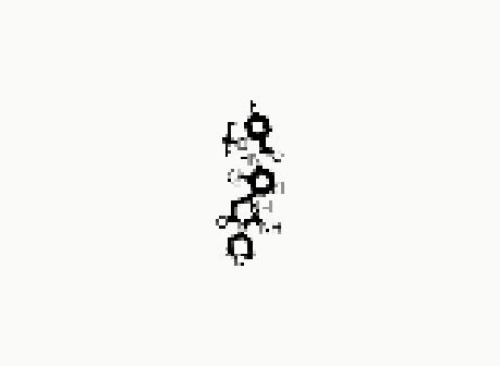 C[C@@H]1C[C@H](N2C(=N)N[C@](C)(c3cccc(NC(=O)c4ccc(F)cc4OC(F)(F)F)c3Cl)CC2=O)CCO1.Cl